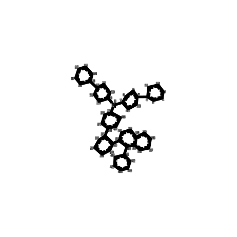 c1ccc(-c2ccc(N(c3ccc(-c4ccccc4)cc3)c3ccc(-c4ccccc4-c4ccc5ccccc5c4-c4ccccc4)cc3)cc2)cc1